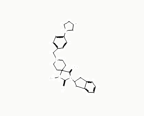 CC(=O)N1C(=O)N(C2Cc3ccccc3C2)C(=O)C12CCN(Cc1ccc(N3CCCC3)cc1)CC2